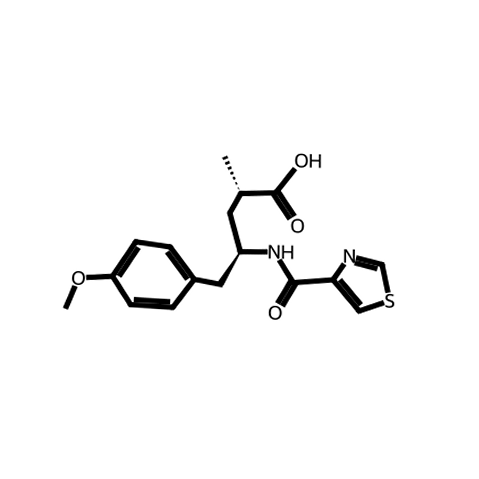 COc1ccc(C[C@@H](C[C@H](C)C(=O)O)NC(=O)c2cscn2)cc1